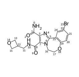 NC(=O)c1nc2n(c1C(=O)NCC1COC1)CCOc1ccc(Br)cc1-2